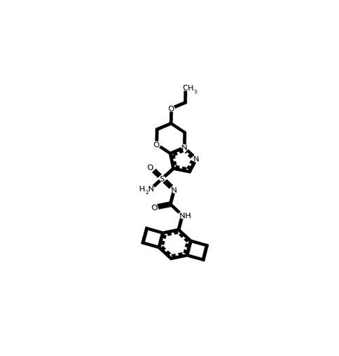 CCOC1COc2c(S(N)(=O)=NC(=O)Nc3c4c(cc5c3CC5)CC4)cnn2C1